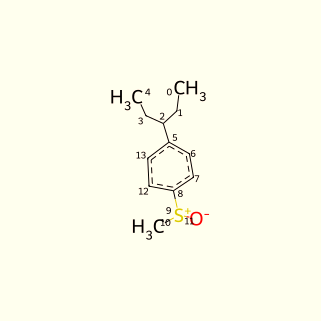 CCC(CC)c1ccc([S+](C)[O-])cc1